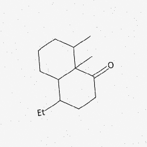 CCC1CCC(=O)C2(C)C(C)CCCC12